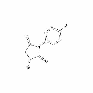 O=C1CC(Br)C(=O)N1c1ccc(F)cc1